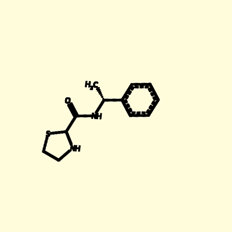 C[C@@H](NC(=O)C1NCCS1)c1ccccc1